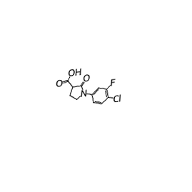 O=C(O)C1CCN(c2ccc(Cl)c(F)c2)C1=O